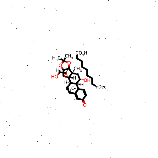 CC1(C)O[C@@H]2C[C@H]3[C@@H]4CCC5=CC(=O)C=C[C@]5(C)[C@H]4[C@@H](O)C[C@]3(C)[C@]2(C(=O)CO)O1.CCCCCCCCCCCCCCCCCC(=O)O